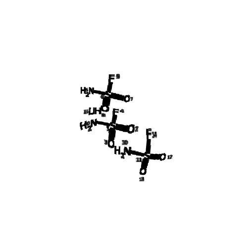 NS(=O)(=O)F.NS(=O)(=O)F.NS(=O)(=O)F.[LiH]